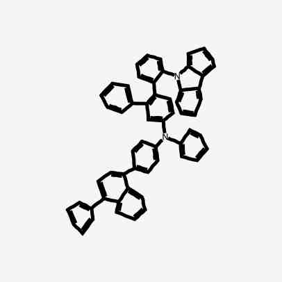 c1ccc(-c2cc(N(c3ccccc3)c3ccc(-c4ccc(-c5ccccc5)c5ccccc45)cc3)ccc2-c2ccccc2-n2c3ccccc3c3ccccc32)cc1